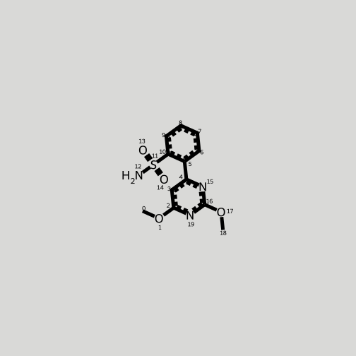 COc1cc(-c2ccccc2S(N)(=O)=O)nc(OC)n1